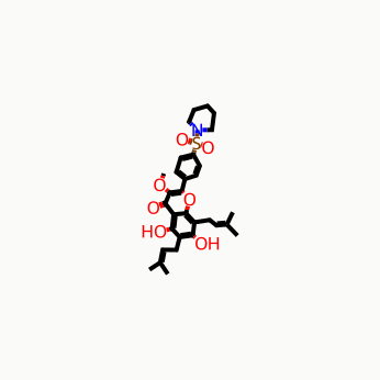 COc1c(-c2ccc(S(=O)(=O)N3CCCCC3)cc2)oc2c(CC=C(C)C)c(O)c(CC=C(C)C)c(O)c2c1=O